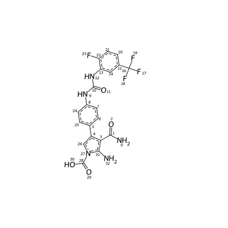 NC(=O)c1c(-c2ccc(NC(=O)Nc3cc(C(F)(F)F)ccc3F)cc2)cn(C(=O)O)c1N